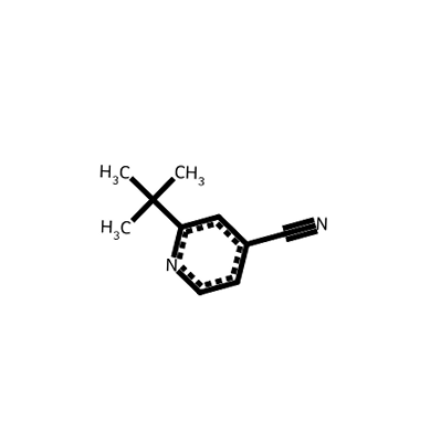 CC(C)(C)c1cc(C#N)ccn1